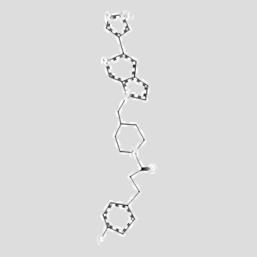 O=C(CCc1ccc(F)cc1)N1CCC(Cn2ccc3cc(-c4cn[nH]c4)ncc32)CC1